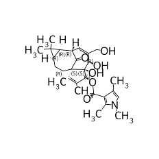 CC1=C[C@]23C(=O)[C@@H](C=C(CO)[C@@H](O)[C@]2(O)[C@H]1OC(=O)c1c(C)cn(C)c1C)[C@H]1[C@@H](C[C@H]3C)C1(C)C